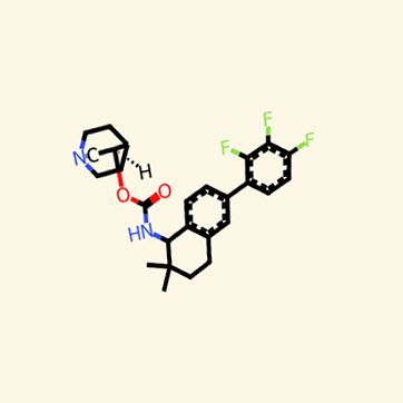 CC1(C)CCc2cc(-c3ccc(F)c(F)c3F)ccc2C1NC(=O)O[C@H]1CN2CCC1CC2